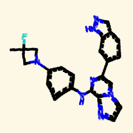 CC1(F)CN(c2ccc(Nc3nc(-c4ccc5cn[nH]c5c4)cn4ccnc34)cc2)C1